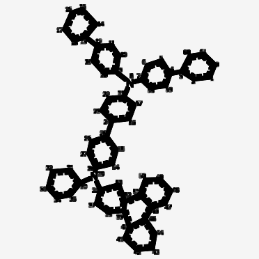 c1ccc(-c2ccc(N(c3ccc(-c4ccccc4)cc3)c3ccc(-c4ccc(N(c5ccccc5)c5ccc6c7ccccc7c7ccccc7c6c5)cc4)cc3)cc2)cc1